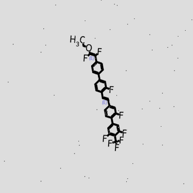 CCO/C(F)=C(\F)c1ccc(-c2ccc(/C=C/c3ccc(-c4cc(F)c(C(F)(F)F)c(F)c4)c(F)c3)c(F)c2)cc1